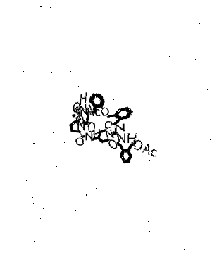 CC(=O)OCc1ccccc1C(=O)/N=C(/NC(=O)c1ccccc1COC(C)=O)N1CCC(CNC(=O)[C@@H]2CCCN2C(=O)[C@@H](Cc2ccccc2)NS(C)(=O)=O)CC1